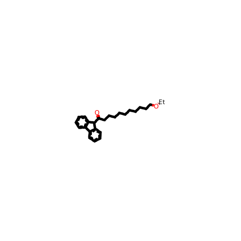 CCOCCCCCCCCCCC(=O)C1c2ccccc2-c2ccccc21